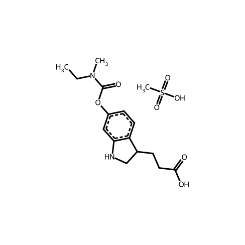 CCN(C)C(=O)Oc1ccc2c(c1)NCC2CCC(=O)O.CS(=O)(=O)O